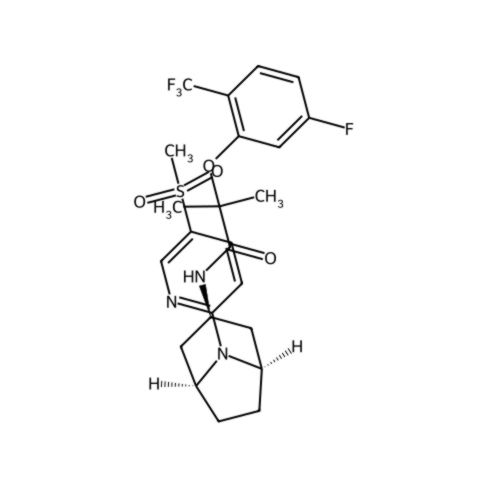 CC(C)(Oc1cc(F)ccc1C(F)(F)F)C(=O)N[C@H]1C[C@H]2CC[C@@H](C1)N2c1ccc(S(C)(=O)=O)cn1